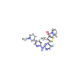 Cc1c(-c2nc(Nc3ccc(C4CCCN(C)C4)cn3)ncc2F)sc2c1C(=O)N(C)C21CC1